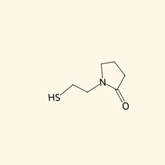 O=C1CCCN1CCS